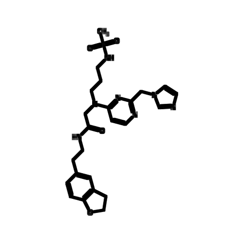 CS(=O)(=O)NCCCN(CC(=O)NCCc1ccc2c(c1)CCO2)c1ccnc(Cn2ccnc2)n1